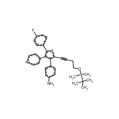 CC(C)(C)[Si](C)(C)OCCC#Cc1sc(-c2ccc(F)cc2)c(-c2ccncc2)c1-c1ccc(N)cc1